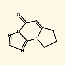 O=c1cc2n(c3ncnn13)CCC2